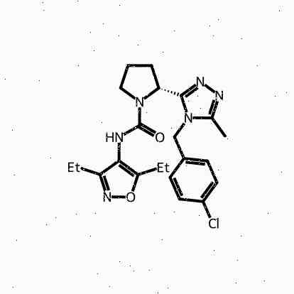 CCc1noc(CC)c1NC(=O)N1CCC[C@@H]1c1nnc(C)n1Cc1ccc(Cl)cc1